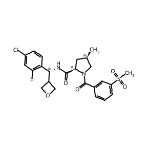 C[C@@H]1C[C@H](C(=O)N[C@@H](c2ccc(Cl)cc2F)C2COC2)N(C(=O)c2cccc(S(C)(=O)=O)c2)C1